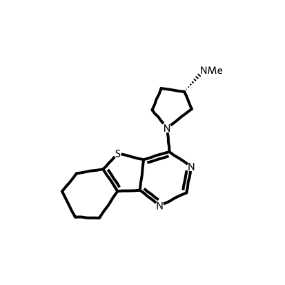 CN[C@H]1CCN(c2ncnc3c4c(sc23)CCCC4)C1